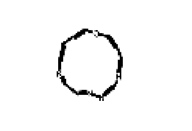 C1=CN=CC=NN=CN=CC=COC=C1